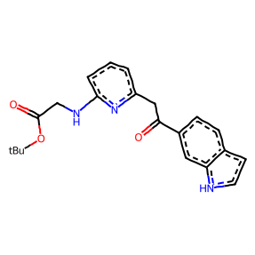 CC(C)(C)OC(=O)CNc1cccc(CC(=O)c2ccc3cc[nH]c3c2)n1